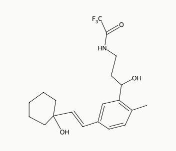 Cc1ccc(C=CC2(O)CCCCC2)cc1C(O)CCNC(=O)C(F)(F)F